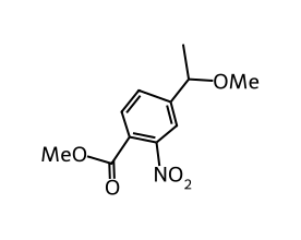 COC(=O)c1ccc(C(C)OC)cc1[N+](=O)[O-]